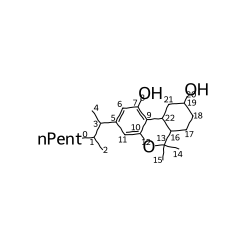 CCCCCC(C)C(C)c1cc(O)c2c(c1)OC(C)(C)C1CCC(O)CC21